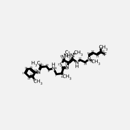 C/N=C1/SC(C(C)CNCC/C(C)=N/c2ccccc2C)=N/C1=C(/NC)NCCN(C)/C=C\C=C(/C)F